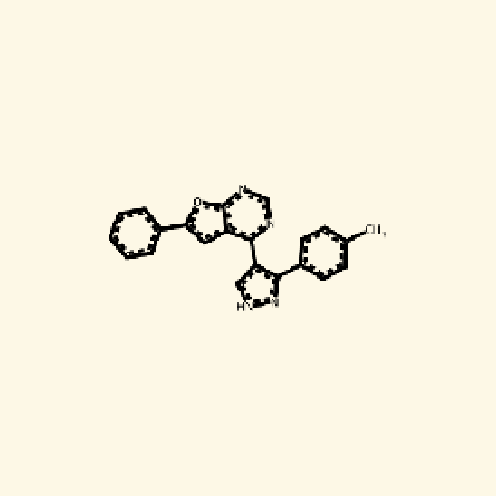 Cc1ccc(-c2n[nH]cc2-c2ncnc3oc(-c4ccccc4)cc23)cc1